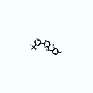 Fc1ccc(Nc2ccnc(-c3cncc(C(F)(F)F)c3)n2)c(F)c1